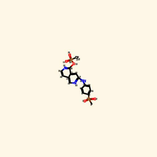 CS(=O)(=O)c1ccc(Nc2cc3c(OS(=O)(=O)C(F)(F)F)nccc3cn2)cc1